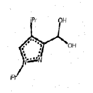 CC(C)c1cn(C(C)C)nc1C(O)O